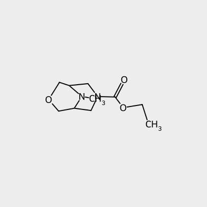 CCOC(=O)N1CC2COCC(C1)N2C